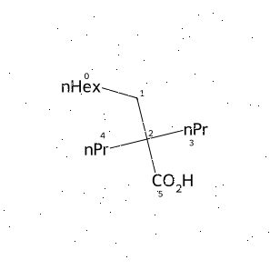 CCCCCCCC(CCC)(CCC)C(=O)O